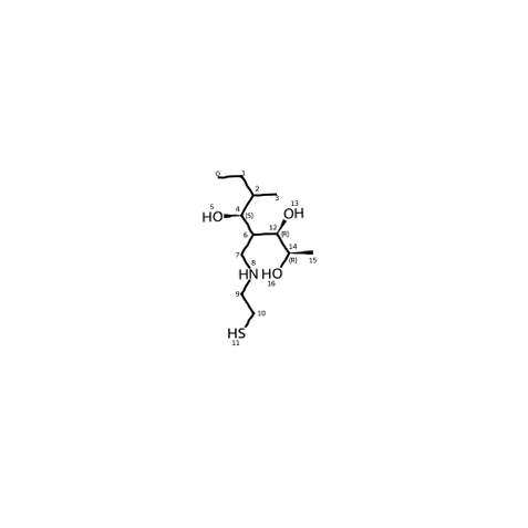 CCC(C)[C@H](O)C(CNCCS)[C@@H](O)[C@@H](C)O